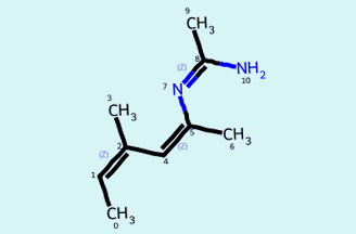 C\C=C(C)/C=C(C)\N=C(\C)N